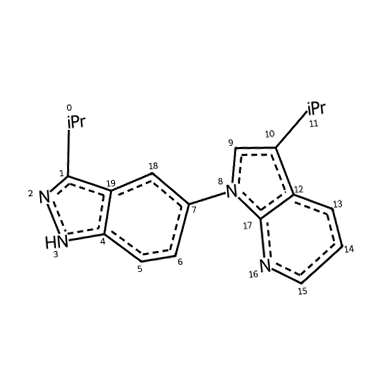 CC(C)c1n[nH]c2ccc(-n3cc(C(C)C)c4cccnc43)cc12